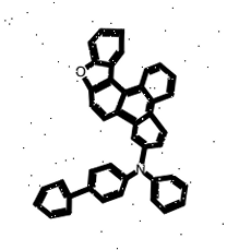 c1ccc(-c2ccc(N(c3ccccc3)c3ccc4c5ccccc5c5c(ccc6oc7ccccc7c65)c4c3)cc2)cc1